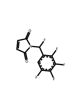 O=C1C=CC(=O)N1C(F)c1cc(F)c(F)c(F)c1F